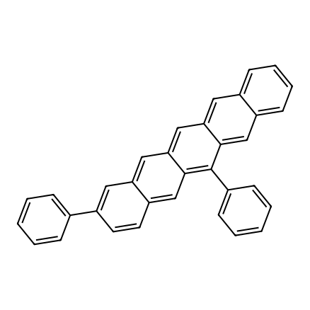 c1ccc(-c2ccc3cc4c(-c5ccccc5)c5cc6ccccc6cc5cc4cc3c2)cc1